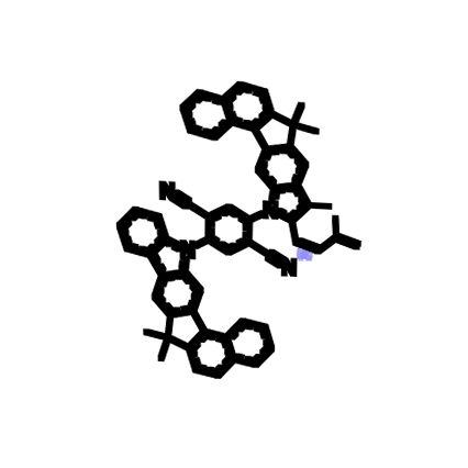 C=C(C)/C=C\c1c(C)c2cc3c(cc2n1-c1cc(C#N)c(-n2c4ccccc4c4cc5c(cc42)-c2c(ccc4ccccc24)C5(C)C)cc1C#N)-c1c(ccc2ccccc12)C3(C)C